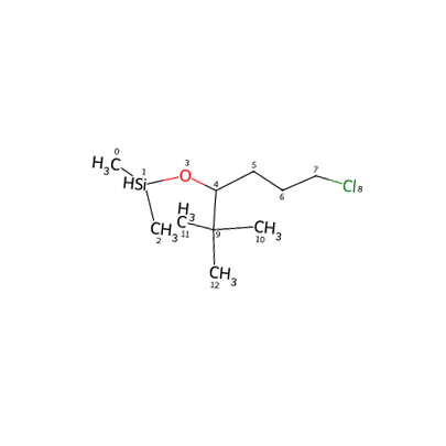 C[SiH](C)OC(CCCCl)C(C)(C)C